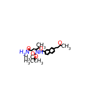 CC(=O)CCc1ccc2ccc(CO[C@H](C)[C@H](CCC(N)=O)NC(=O)OC(C)(C)C)cc2c1